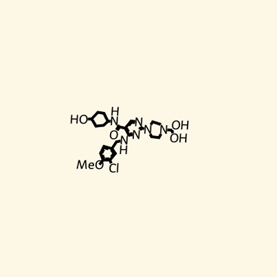 COc1ccc(CNc2nc(N3CCN(C(O)O)CC3)ncc2C(=O)NC2CCC(O)CC2)cc1Cl